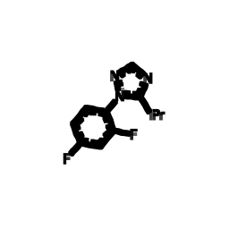 CC(C)c1ncnn1-c1ccc(F)cc1F